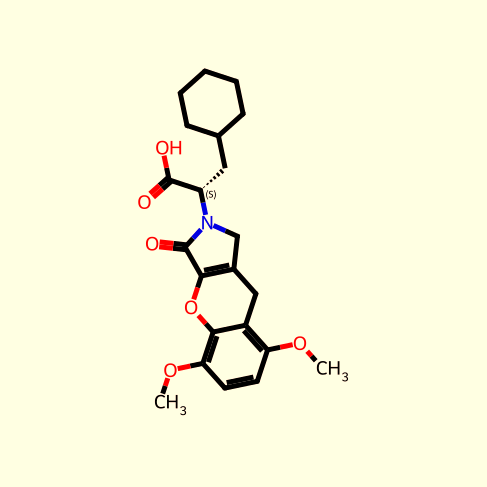 COc1ccc(OC)c2c1CC1=C(O2)C(=O)N([C@@H](CC2CCCCC2)C(=O)O)C1